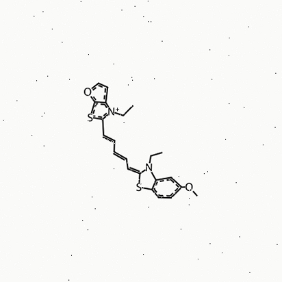 CCN1C(=CC=CC=Cc2sc3occc3[n+]2CC)Sc2ccc(OC)cc21